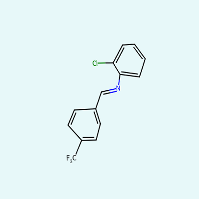 FC(F)(F)c1ccc(C=Nc2ccccc2Cl)cc1